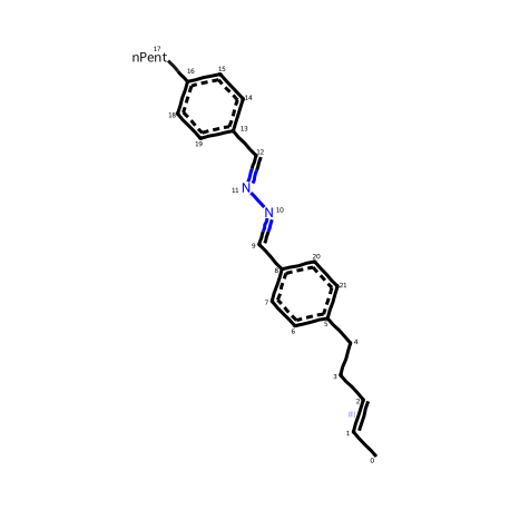 C/C=C/CCc1ccc(C=NN=Cc2ccc(CCCCC)cc2)cc1